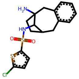 NC12CCC(Cc3ccccc3C1)C2NS(=O)(=O)c1ccc(Cl)s1